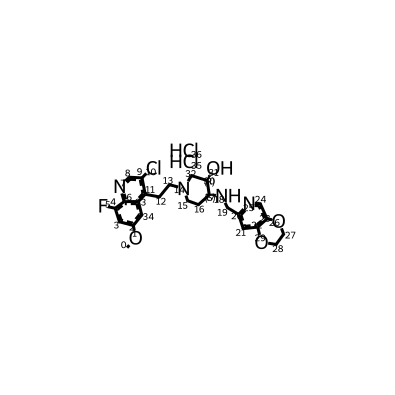 COc1cc(F)c2ncc(Cl)c(CCN3CC[C@H](NCc4cc5c(cn4)OCCO5)[C@H](O)C3)c2c1.Cl.Cl